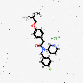 CC(C)COc1ccc(CC(=O)N(Cc2ccc(F)cc2)[C@H]2CCCNC2)cc1.Cl